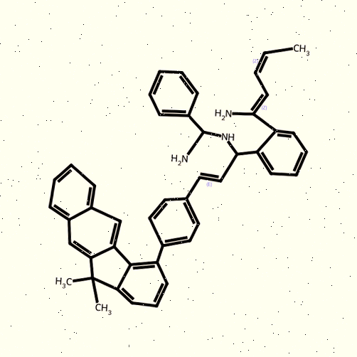 C/C=C\C=C(/N)c1ccccc1C(/C=C/c1ccc(-c2cccc3c2-c2cc4ccccc4cc2C3(C)C)cc1)NC(N)c1ccccc1